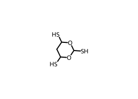 SC1CC(S)OC(S)O1